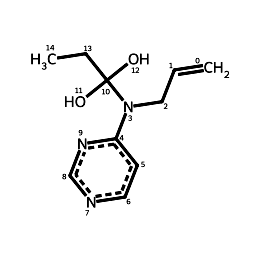 C=CCN(c1ccncn1)C(O)(O)CC